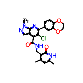 Cc1cc(C)c(CNC(=O)c2c(Cl)c(-c3ccc4c(c3)OCCO4)nc3c2cnn3C(C)C)c(=O)[nH]1